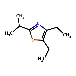 CCc1nc(C(C)C)sc1CC